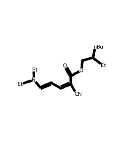 CCCCC(CC)COC(=O)/C(C#N)=C\C=CN(CC)CC